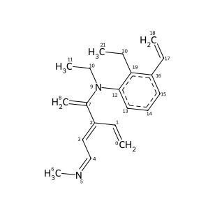 C=C/C(=C\C=N/C)C(=C)N(CC)c1cccc(C=C)c1CC